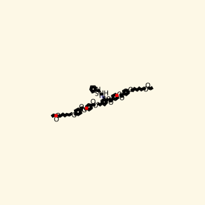 C=CC(=O)OCCCCCCOc1ccc(C(=O)Oc2ccc(C(=O)OCCc3ccc(OC(=O)c4ccc(OC(=O)c5ccc(OCCCCCCOC(=O)C=C)cc5)cc4)c(/C=N/Nc4nc5ccccc5s4)c3)cc2)cc1